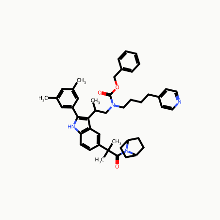 Cc1cc(C)cc(-c2[nH]c3ccc(C(C)(C)C(=O)N4C5CCC4CC5)cc3c2C(C)CN(CCCCc2ccncc2)C(=O)OCc2ccccc2)c1